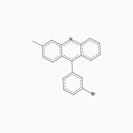 Cc1ccc2c(-c3cccc(Br)c3)c3ccccc3nc2c1